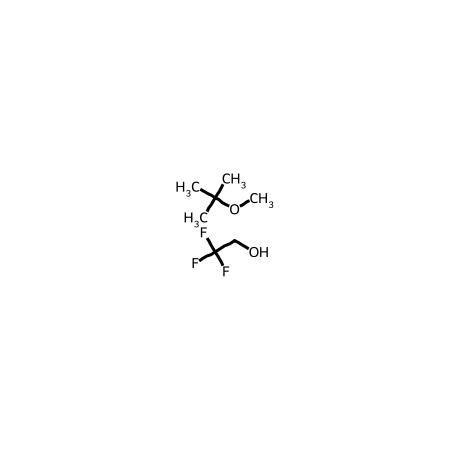 COC(C)(C)C.OCC(F)(F)F